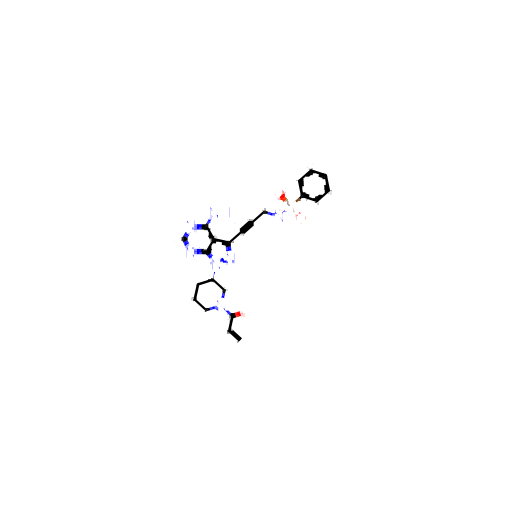 C=CC(=O)N1CCC[C@@H](n2nc(C#CCNS(=O)(=O)c3ccccc3)c3c(N)ncnc32)C1